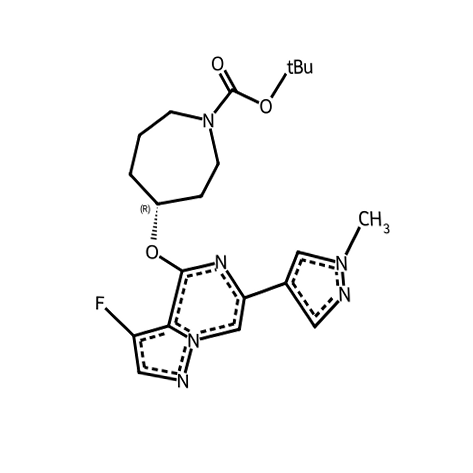 Cn1cc(-c2cn3ncc(F)c3c(O[C@@H]3CCCN(C(=O)OC(C)(C)C)CC3)n2)cn1